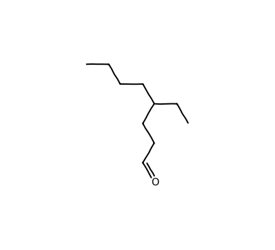 CCCCC(CC)CCC=O